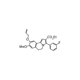 C=CCOc1cc2c(cc1OC)CCn1c-2cc(C(=O)OCC)c1-c1cccc(F)c1